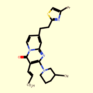 CC(C)c1csc(CCc2ccn3c(=O)c(C=CC(=O)O)c(N4CCCC(C#N)C4)nc3c2)n1